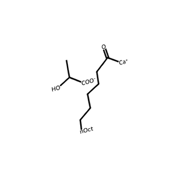 CC(O)C(=O)[O-].CCCCCCCCCCCCC[C](=O)[Ca+]